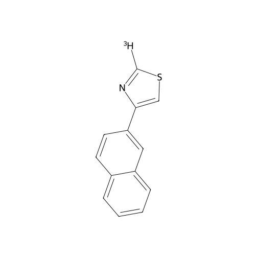 [3H]c1nc(-c2ccc3ccccc3c2)cs1